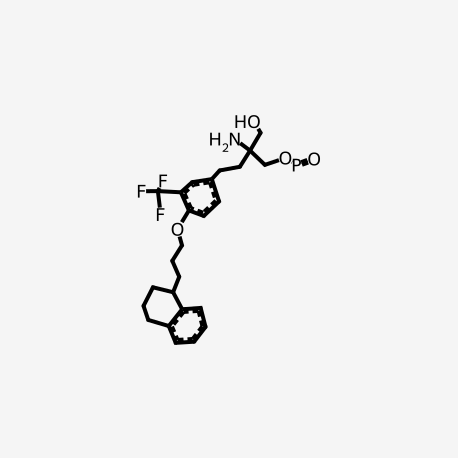 NC(CO)(CCc1ccc(OCCCC2CCCc3ccccc32)c(C(F)(F)F)c1)COP=O